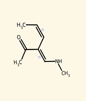 C/C=C\C(=C/NC)C(C)=O